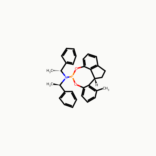 Cc1cccc2c1[C@H]1CCc3cccc(c31)OP(N([C@H](C)c1ccccc1)[C@H](C)c1ccccc1)O2